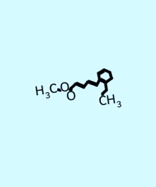 CCCC1=C(/C=C/C=C/C(=O)OCC)C=CCC1